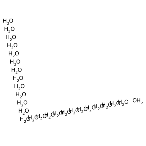 O.O.O.O.O.O.O.O.O.O.O.O.O.O.O.O.O.O.O.O.O.O.O.O.O.O